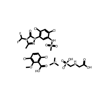 COc1c(Cl)ccc(Cl)c1C(=O)O.C[S+](C)C.Cc1nn(-c2cc(NS(C)(=O)=O)c(Cl)cc2Cl)c(=O)n1C(F)F.O=C(O)CNCP(=O)([O-])O